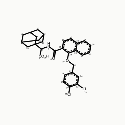 O=C(NC(C(=O)O)C12CC3CC(CC(C3)C1)C2)c1ccc2ccccc2c1OCc1ccc(Cl)c(Cl)c1